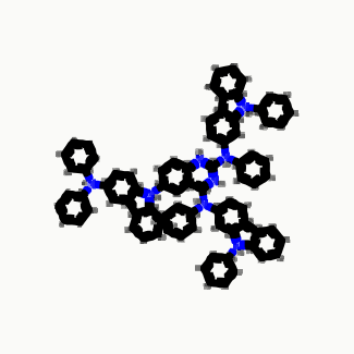 c1ccc(N(c2ccccc2)c2ccc3c(c2)c2ccccc2n3-c2ccc3nc(N(c4ccccc4)c4ccc5c6ccccc6n(-c6ccccc6)c5c4)nc(N(c4ccccc4)c4ccc5c6ccccc6n(-c6ccccc6)c5c4)c3c2)cc1